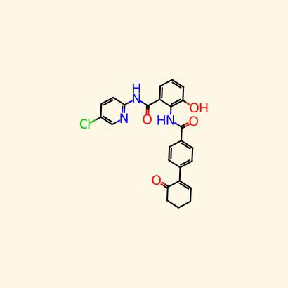 O=C1CCCC=C1c1ccc(C(=O)Nc2c(O)cccc2C(=O)Nc2ccc(Cl)cn2)cc1